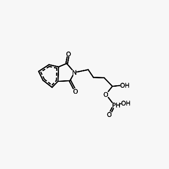 O=C1c2ccccc2C(=O)N1CCCC(O)O[PH](=O)O